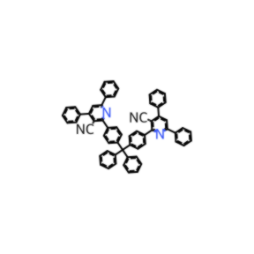 N#Cc1c(-c2ccccc2)cc(-c2ccccc2)nc1-c1ccc(C(c2ccccc2)(c2ccccc2)c2ccc(-c3nc(-c4ccccc4)cc(-c4ccccc4)c3C#N)cc2)cc1